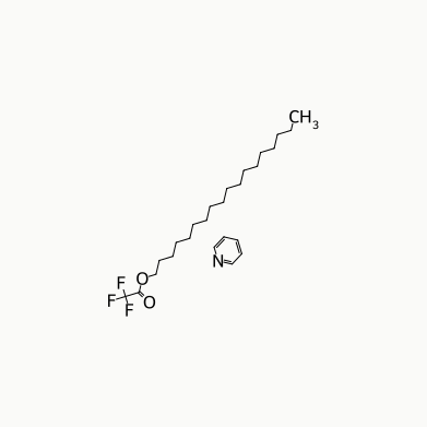 CCCCCCCCCCCCCCCCCCOC(=O)C(F)(F)F.c1ccncc1